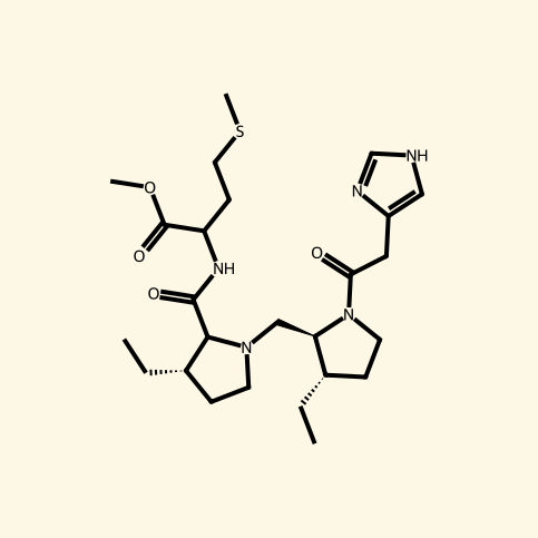 CC[C@H]1CCN(C[C@@H]2[C@@H](CC)CCN2C(=O)Cc2c[nH]cn2)C1C(=O)NC(CCSC)C(=O)OC